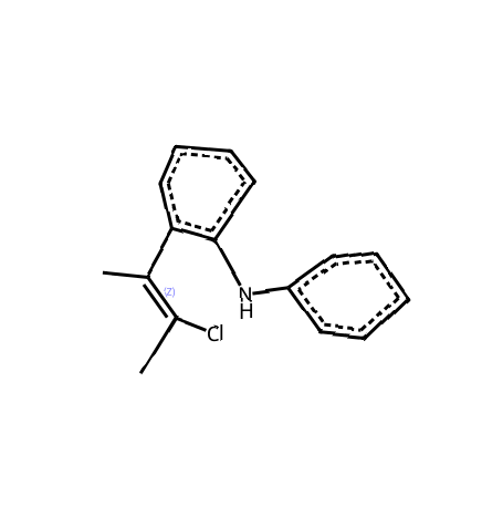 C/C(Cl)=C(\C)c1ccccc1Nc1ccccc1